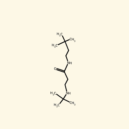 CC(C)(C)CCNC(=O)CCNC(C)(C)C